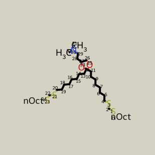 CCCCCCCCSCSCCCCCCCCC1(CCCCCCCCSCSCCCCCCCC)OCC(CCN(C)C)O1